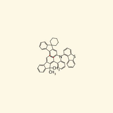 CC1(C)c2ccccc2-c2cccc(-c3ccccc3N(c3ccc4c(c3)C3(CCCCC3)c3ccccc3-4)c3cccc4sc5ccccc5c34)c21